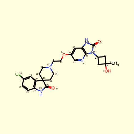 CC1(O)CC(n2c(=O)[nH]c3cc(OCCN4CCC5(CC4)C(=O)Nc4ccc(Cl)cc45)cnc32)C1